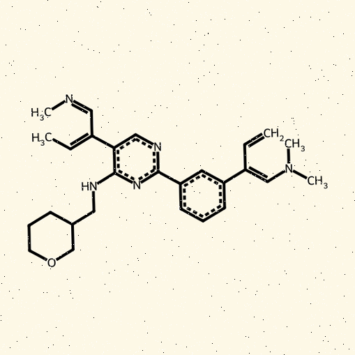 C=C/C(=C\N(C)C)c1cccc(-c2ncc(C(/C=N\C)=C/C)c(NCC3CCCOC3)n2)c1